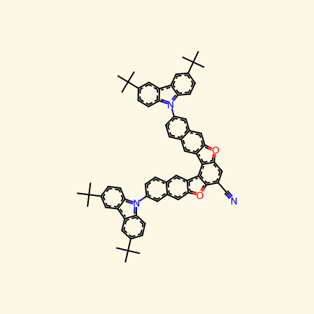 CC(C)(C)c1ccc2c(c1)c1cc(C(C)(C)C)ccc1n2-c1ccc2cc3c(cc2c1)oc1cc(C#N)c2oc4cc5cc(-n6c7ccc(C(C)(C)C)cc7c7cc(C(C)(C)C)ccc76)ccc5cc4c2c13